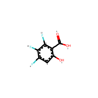 O=C(O)c1c(O)cc(F)c(F)c1F